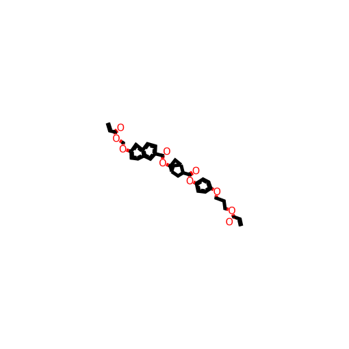 C=CC(=O)OCCCOc1ccc(OC(=O)C2CC3CC2CC3OC(=O)c2ccc3cc(OCOC(=O)C=C)ccc3c2)cc1